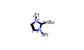 CCCCC1N(CC)C=CN1C(C)C